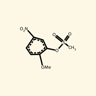 COc1ccc([N+](=O)[O-])cc1OS(C)(=O)=O